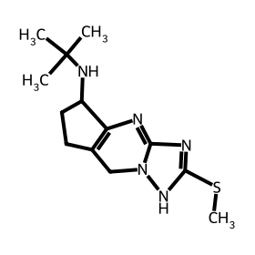 CSC1=NC2=NC3=C(CCC3NC(C)(C)C)CN2N1